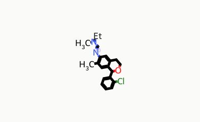 CCN(C)/C=N/c1cc2c(cc1C)C(c1ccccc1Cl)OCC2